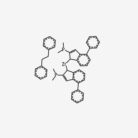 CP(C)C1=Cc2c(-c3ccccc3)cccc2[CH]1[Zr][CH]1C(P(C)C)=Cc2c(-c3ccccc3)cccc21.c1ccc(CCc2ccccc2)cc1